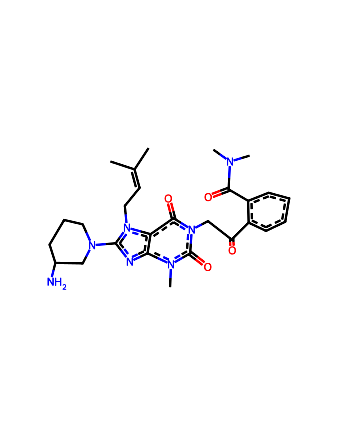 CC(C)=CCn1c(N2CCCC(N)C2)nc2c1c(=O)n(CC(=O)c1ccccc1C(=O)N(C)C)c(=O)n2C